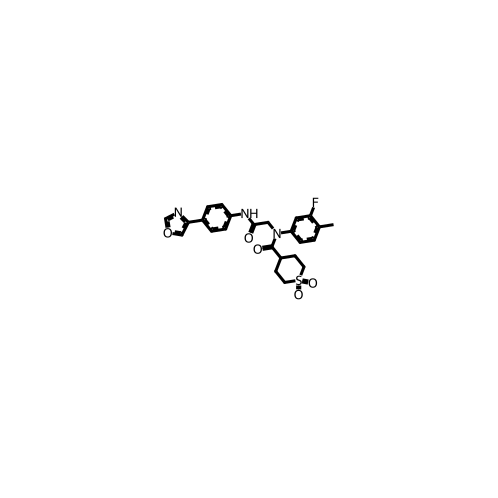 Cc1ccc(N(CC(=O)Nc2ccc(-c3cocn3)cc2)C(=O)C2CCS(=O)(=O)CC2)cc1F